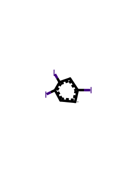 Ic1[c]cc(I)c(I)c1